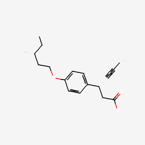 CC#C[C@H](CC(=O)O)c1ccc(OCC[C@H](C)CC)cc1